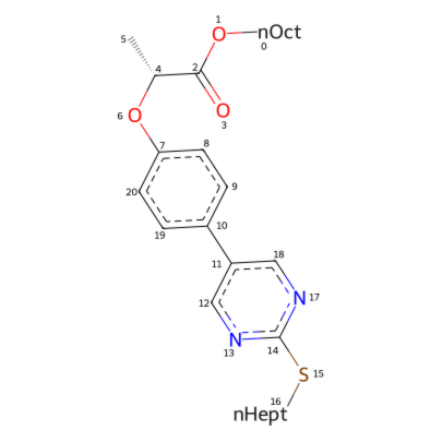 CCCCCCCCOC(=O)[C@@H](C)Oc1ccc(-c2cnc(SCCCCCCC)nc2)cc1